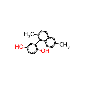 Cc1ccc2c(-c3cc(O)ccc3O)c(C)ccc2c1